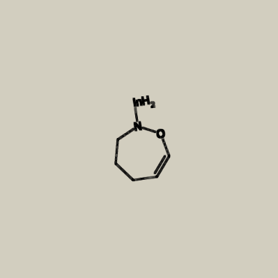 [InH2][N]1CCCC=CO1